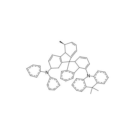 C[C@H]1C=CC=C2C1C1=C(CC(N(c3ccccc3)c3ccccc3)C=C1)C21c2ccccc2C2C(N3c4ccccc4C(C)(C)c4ccccc43)=CC=CC21